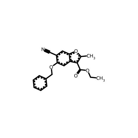 CCOC(=O)c1c(C)oc2cc(C#N)c(OCc3ccccc3)cc12